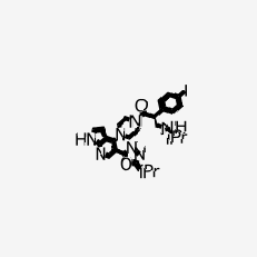 CC(C)NC[C@@H](C(=O)N1CCN(c2c(-c3nnc(C(C)C)o3)cnc3[nH]ccc23)CC1)c1ccc(I)cc1